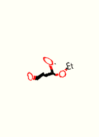 CCOC([O])C=C=O